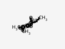 CCCCCC#CC(CS(=O)(=O)N1CCN(c2ccc(OC)c(OC)c2)CC1)ONC=O